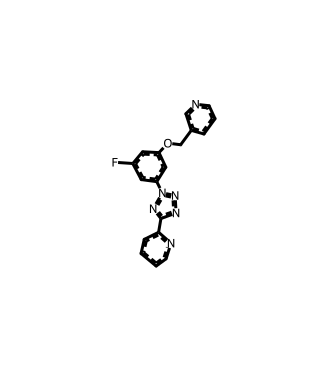 Fc1cc(OCc2cccnc2)cc(-n2nnc(-c3ccccn3)n2)c1